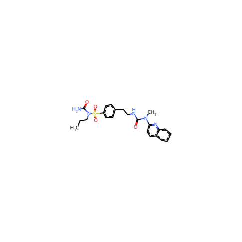 CCCN(C(N)=O)S(=O)(=O)c1ccc(CCNC(=O)N(C)c2ccc3ccccc3n2)cc1